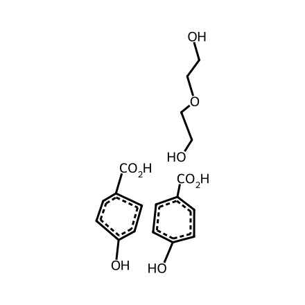 O=C(O)c1ccc(O)cc1.O=C(O)c1ccc(O)cc1.OCCOCCO